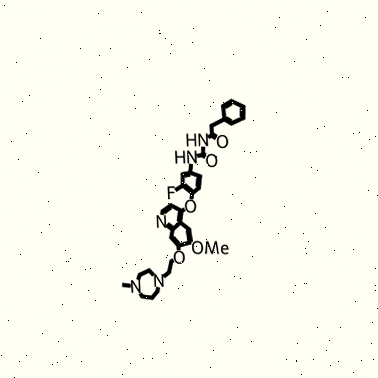 COc1cc2c(Oc3ccc(NC(=O)NC(=O)Cc4ccccc4)cc3F)ccnc2cc1OCCN1CCCN(C)CC1